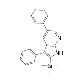 C[Si](C)(C)c1[nH]c2ncc(-c3ccccc3)cc2c1-c1ccccc1